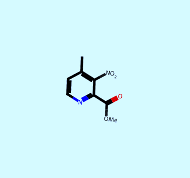 COC(=O)c1nccc(C)c1[N+](=O)[O-]